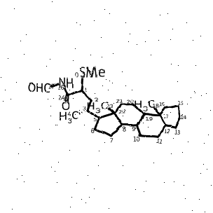 CSC(C[C@@H](C)C1CCC2C3CCC4CCCCC4(C)C3CCC21C)C(=O)NC=O